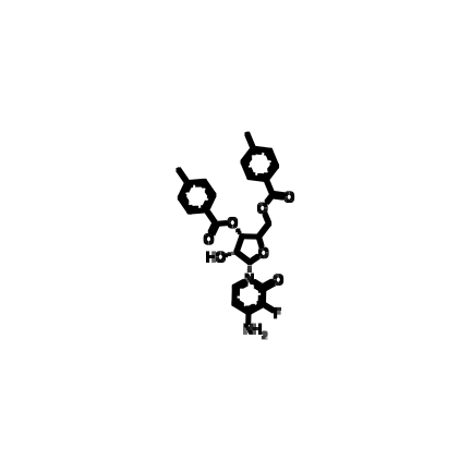 Cc1ccc(C(=O)OCC2O[C@H](n3ccc(N)c(F)c3=O)[C@H](O)[C@@H]2OC(=O)c2ccc(C)cc2)cc1